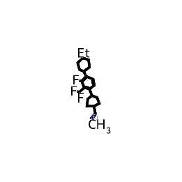 C/C=C/C1CCC(c2ccc(C3CCC(CC)CC3)c(F)c2C(F)F)CC1